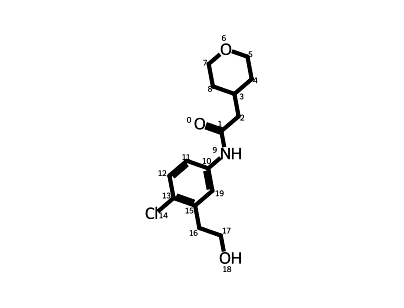 O=C(CC1CCOCC1)Nc1ccc(Cl)c(CCO)c1